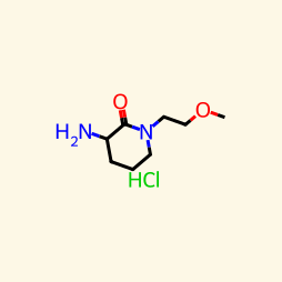 COCCN1CCCC(N)C1=O.Cl